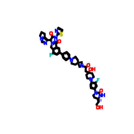 O=C(Nc1nccs1)C(c1ncn2c1CCC2)N1Cc2c(F)cc(-c3ccc(N4CCC5(CC4)CN(C(=O)CC4(O)CCN(c6ccc(N7CC/C(=C\CO)NC7=O)cc6F)CC4)C5)cc3)cc2C1=O